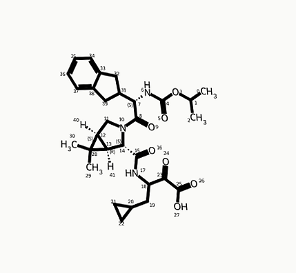 CC(C)OC(=O)N[C@H](C(=O)N1C[C@H]2[C@@H]([C@H]1C(=O)NC(CC1CC1)C(=O)C(=O)O)C2(C)C)C1Cc2ccccc2C1